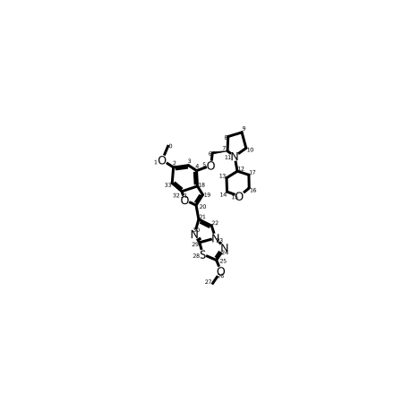 COc1cc(OC[C@H]2CCCN2C2CCOCC2)c2cc(-c3cn4nc(OC)sc4n3)oc2c1